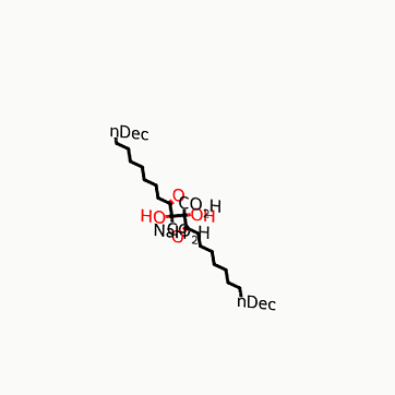 CCCCCCCCCCCCCCCCCC(=O)C(O)(C(=O)O)C(O)(C(=O)O)C(=O)CCCCCCCCCCCCCCCCC.[NaH]